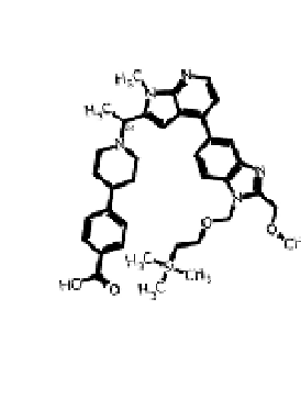 COCc1nc2cc(-c3ccnc4c3cc([C@H](C)N3CCC(c5ccc(C(=O)O)cc5)CC3)n4C)ccc2n1COCC[Si](C)(C)C